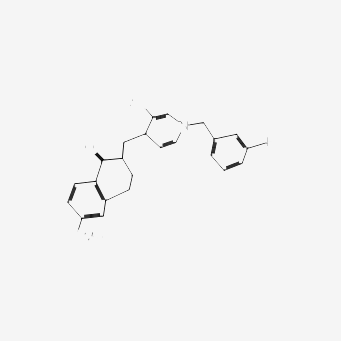 COc1ccc2c(c1)CCC(CC1C=CN(Cc3cccc(F)c3)C=C1C(C)=O)C2=O